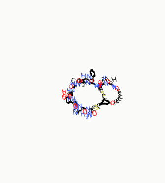 C[C@@H](O)[C@@H]1NC(=O)[C@H](CC(=O)O)NC(=O)[C@@H]2CCCN2C(=O)[C@H](Cc2c[nH]c3ccccc23)NC(=O)[C@@H]2CSCc3cc(cc(c3)OCCCCCCO/N=C/C(=O)N[C@@H](CC(=O)O)C(=O)N2)CSC[C@H](C(N)=O)NC(=O)[C@H](Cc2cnc[nH]2)NC(=O)[C@H](Cc2ccc(O)cc2)NC1=O